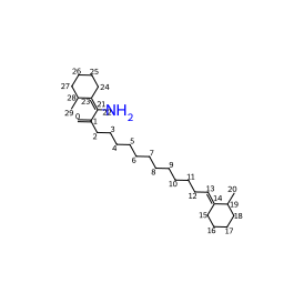 C=C(CCCCCCCCCCCC=C1CCCCC1C)C(N)=C1CCCCC1C